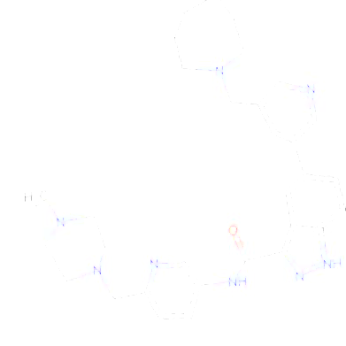 CN1CCN(Cc2ccc(NC(=O)c3n[nH]c4ccc(-c5cncc(CN6CCCCCC6)c5)cc34)cn2)CC1